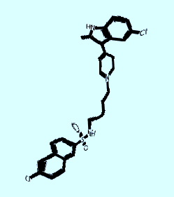 Cc1[nH]c2ccc(Cl)cc2c1C1=CCN(CCCCNS(=O)(=O)c2ccc3cc(Cl)ccc3c2)CC1